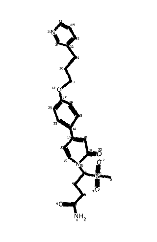 CS(=O)(=O)C(CCC(N)=O)n1ccc(-c2ccc(OCCCc3cccnc3)cc2)cc1=O